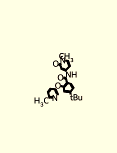 Cc1ccc(Oc2cc(C(C)(C)C)ccc2C(=O)Nc2ccn(C)c(=O)c2)cn1